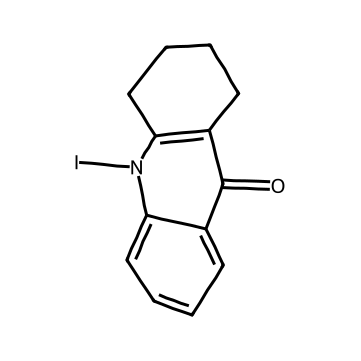 O=c1c2c(n(I)c3ccccc13)CCCC2